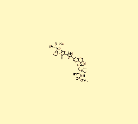 COC(=O)N[C@H](C(=O)N1CCC[C@H]1c1nc2ccc3cc(-c4nc5c(o4)-c4[nH]c([C@@H]6CCCN6C(=O)[C@@H](NC(C)=O)C(C)C)nc4C5)ccc3c2[nH]1)C(C)C